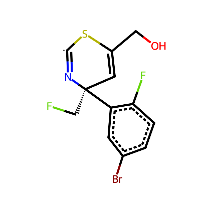 OCC1=C[C@@](CF)(c2cc(Br)ccc2F)N=[C]S1